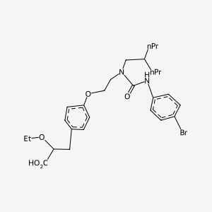 CCCC(CCC)CN(CCOc1ccc(CC(OCC)C(=O)O)cc1)C(=O)Nc1ccc(Br)cc1